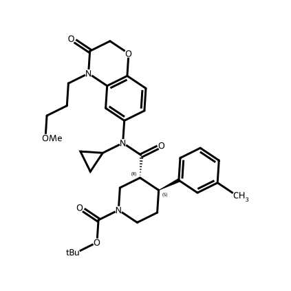 COCCCN1C(=O)COc2ccc(N(C(=O)[C@H]3CN(C(=O)OC(C)(C)C)CC[C@@H]3c3cccc(C)c3)C3CC3)cc21